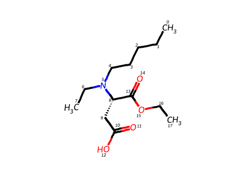 CCCCCN(CC)[C@@H](CC(=O)O)C(=O)OCC